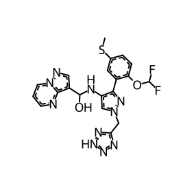 CSc1ccc(OC(F)F)c(-c2nn(Cc3nn[nH]n3)cc2NC(O)c2cnn3cccnc23)c1